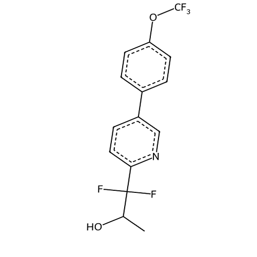 CC(O)C(F)(F)c1ccc(-c2ccc(OC(F)(F)F)cc2)cn1